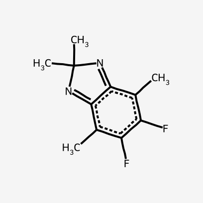 Cc1c(F)c(F)c(C)c2c1=NC(C)(C)N=2